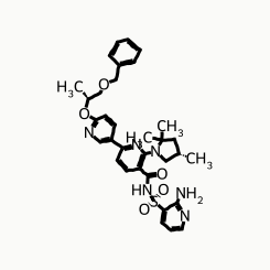 C[C@@H]1CN(c2nc(-c3ccc(O[C@@H](C)COCc4ccccc4)nc3)ccc2C(=O)NS(=O)(=O)c2cccnc2N)C(C)(C)C1